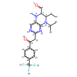 CCC1C(C=O)N(C)c2cnc(CC(=O)c3ccc(C(F)(F)F)cc3)nc2N1C(C)C